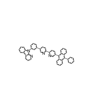 c1ccc(-c2c3ccccc3c(-c3ccc(-c4ccc(-c5cccc(-n6c7ccccc7c7cccnc76)c5)cn4)nc3)c3ccccc23)cc1